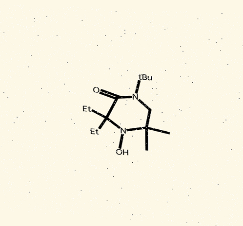 CCC1(CC)C(=O)N(C(C)(C)C)CC(C)(C)N1O